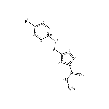 COC(=O)c1ccc(CSc2ccc(Br)cc2)s1